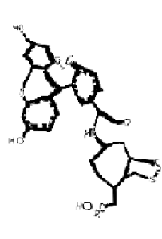 O=C(O)CC1CCC(NC(=O)c2ccc(C(=O)O)c(C3=C4C=CC(O)C=C4Oc4cc(O)ccc43)c2)CC2SSC12